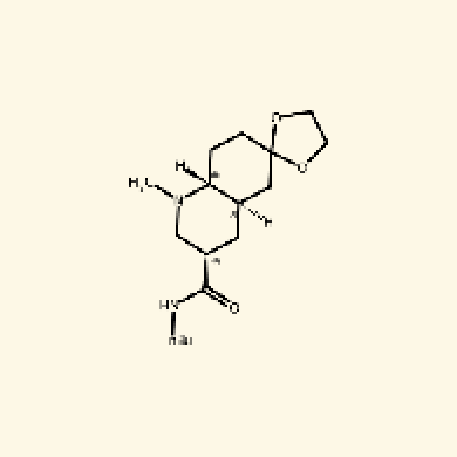 CCCCNC(=O)[C@@H]1C[C@@H]2CC3(CC[C@H]2N(C)C1)OCCO3